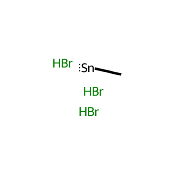 Br.Br.Br.[CH3][Sn]